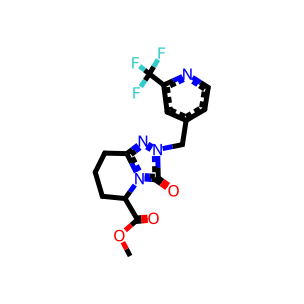 COC(=O)C1CCCc2nn(Cc3ccnc(C(F)(F)F)c3)c(=O)n21